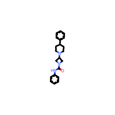 O=C(Nc1ccccc1)N1CC(N2CCC(c3ccccc3)CC2)C1